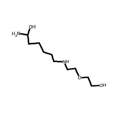 NC(O)CCCCCNCCOCCO